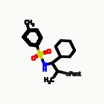 CCCCCC(C)C(NS(=O)(=O)c1ccc(C)cc1)C1CCCCC1